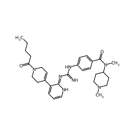 CCCCC(=O)N1CC=C(c2ccc[nH]/c2=N\C(=N)Nc2ccc(C(=O)N(C)C3CCN(C)CC3)cc2)CC1